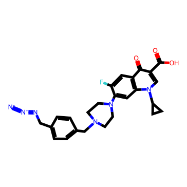 [N-]=[N+]=NCc1ccc(CN2CCN(c3cc4c(cc3F)c(=O)c(C(=O)O)cn4C3CC3)CC2)cc1